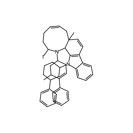 CC1CC(N2C(I)CC/C=C\CC3(C)C=Cc4c(n(C5CCCC(c6ccccc6)C5)c5ccccc45)C23)CC=C1c1ccccc1